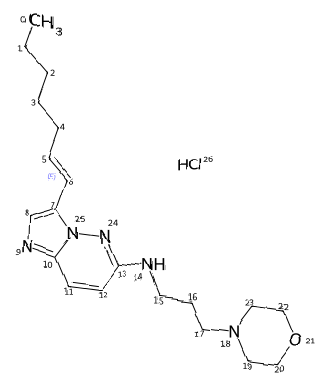 CCCCC/C=C/c1cnc2ccc(NCCCN3CCOCC3)nn12.Cl